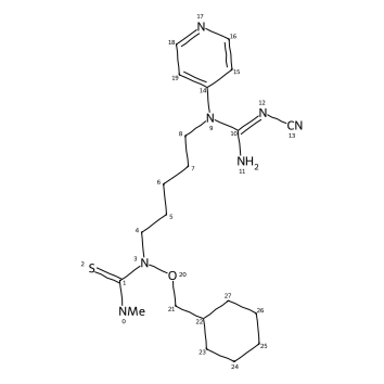 CNC(=S)N(CCCCCN(C(N)=NC#N)c1ccncc1)OCC1CCCCC1